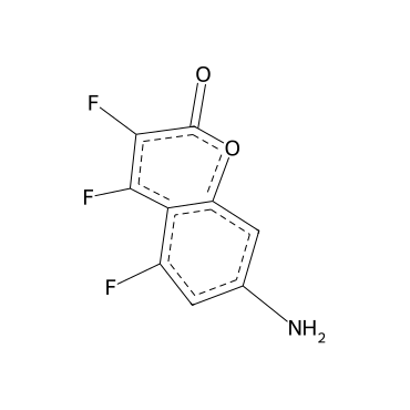 Nc1cc(F)c2c(F)c(F)c(=O)oc2c1